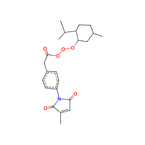 CC1=CC(=O)N(c2ccc(CC(=O)OOOC3CC(C)CCC3C(C)C)cc2)C1=O